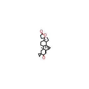 C[C@]12CC3(CC3)C(=O)C=C1[C@@H]1CC1C1C2CC[C@@]2(C)C1CC[C@@]21CCC(=O)O1